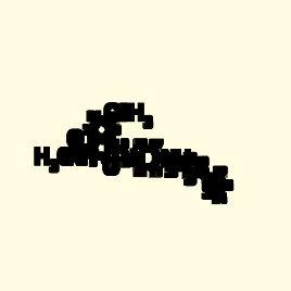 CNC(=O)c1cc(=O)n(CCN2CCC(NCc3ccc(-c4cccs4)s3)CC2)c2cc(OC)ccc12